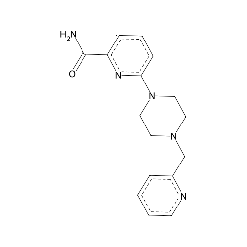 NC(=O)c1[c]ccc(N2CCN(Cc3ccccn3)CC2)n1